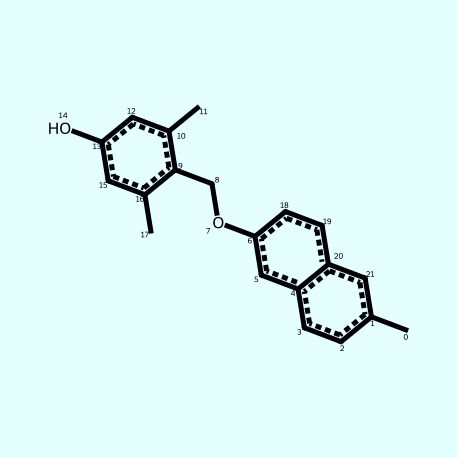 Cc1ccc2cc(OCc3c(C)cc(O)cc3C)ccc2c1